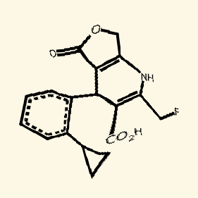 O=C(O)C1=C(CF)NC2=C(C(=O)OC2)C1c1ccccc1C1CC1